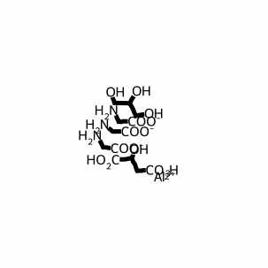 NCC(=O)[O-].NCC(=O)[O-].NCC(=O)[O-].O=C(O)CC(O)C(=O)O.OCC(O)CO.[Al+3]